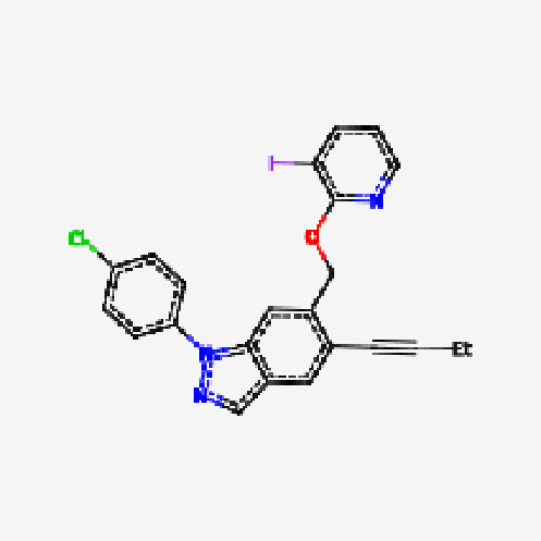 CCC#Cc1cc2cnn(-c3ccc(Cl)cc3)c2cc1COc1ncccc1I